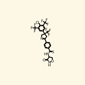 O=C1NOCC1NC(=S)c1ccc(C2=NCC(c3cc(C(F)(F)F)c(Cl)c(C(F)(F)F)c3)(C(F)(F)F)C2)cc1